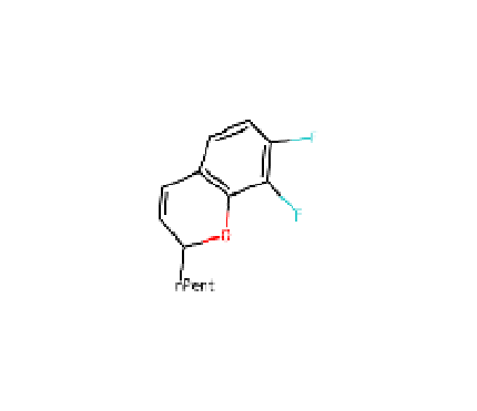 CCCCCC1C=Cc2ccc(F)c(F)c2O1